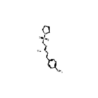 Cl.Nc1ccc(CCC=CCS(=O)(=O)N2CCCC2)cc1